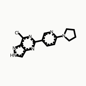 Clc1nc(-c2ccc(N3CCCC3)nc2)nc2c[nH]nc12